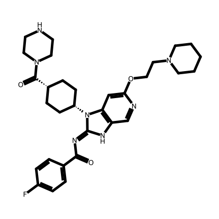 O=C(/N=c1\[nH]c2cnc(OCCN3CCCCC3)cc2n1[C@H]1CC[C@@H](C(=O)N2CCNCC2)CC1)c1ccc(F)cc1